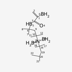 BC(=C)C(=O)BC(C)(C)CC(C)(C)[N+](B)(B)C(C)(C)CC(C)C